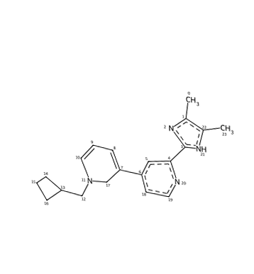 Cc1nc(-c2cc(C3=CC=CN(CC4CCC4)C3)ccn2)[nH]c1C